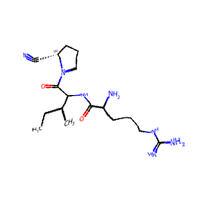 CCC(C)C(NC(=O)C(N)CCCNC(=N)N)C(=O)N1CCC[C@H]1C#N